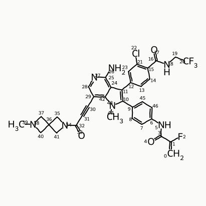 C=C(F)C(=O)Nc1ccc(-c2c(-c3ccc(C(=O)NCC(F)(F)F)c(Cl)c3)c3c(N)ncc(C#CC(=O)N4CC5(CN(C)C5)C4)c3n2C)cc1